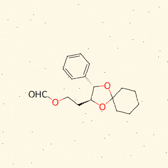 O=COCC[C@@H]1OC2(CCCCC2)O[C@H]1c1ccccc1